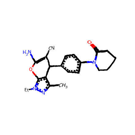 CCn1nc(C)c2c1OC(N)=C(C#N)C2c1ccc(N2CCCCC2=O)cc1